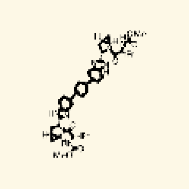 COC(=O)N[C@H](C(=O)N1[C@@H]2C[C@@H]2C[C@H]1c1nc2cc(-c3ccc(-c4ccc5[nH]c([C@@H]6C[C@H]7C[C@H]7N6C(=O)[C@@H](NC(=O)OC)C(C)C)nc5c4)cc3)ccc2[nH]1)C(C)C